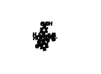 CC(C)(O)C(N1CCN(C(=O)O)CC1)n1cc([N+](=O)[O-])nc1Sc1ccccc1[N+](=O)[O-]